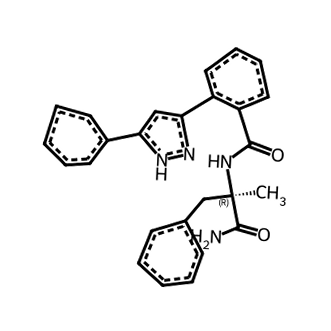 C[C@](Cc1ccccc1)(NC(=O)c1ccccc1-c1cc(-c2ccccc2)[nH]n1)C(N)=O